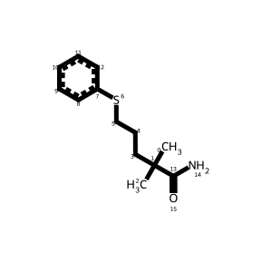 CC(C)(CCCSc1ccccc1)C(N)=O